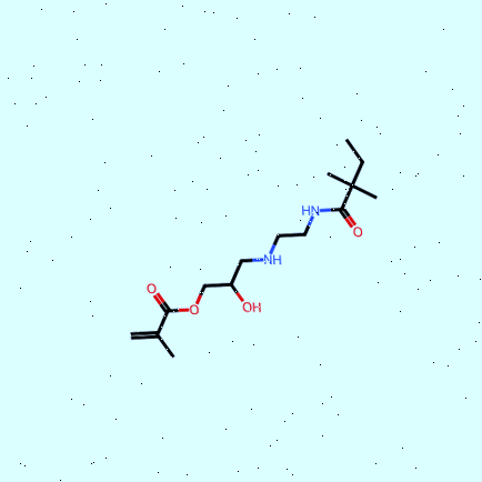 C=C(C)C(=O)OCC(O)CNCCNC(=O)C(C)(C)CC